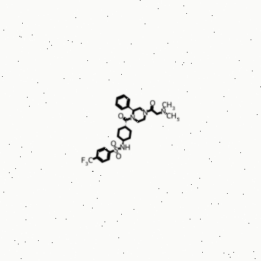 CN(C)CC(=O)N1CCN(C(=O)[C@H]2CC[C@H](NS(=O)(=O)c3ccc(C(F)(F)F)cc3)CC2)[C@@H](c2ccccc2)C1